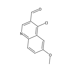 COc1ccc2ncc(C=O)c(Cl)c2c1